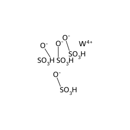 O=S(=O)([O-])O.O=S(=O)([O-])O.O=S(=O)([O-])O.O=S(=O)([O-])O.[W+4]